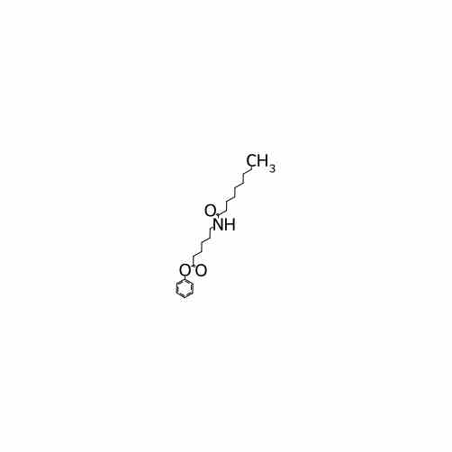 CCCCCCCCC(=O)NCCCCCC(=O)Oc1ccccc1